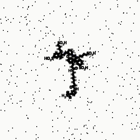 CC1(C)C(/C=C/C2=C(Oc3ccc(CCC(=O)NCCCCCCCC(=O)Nc4nnc(S(N)(=O)=O)s4)cc3)C(=C/C=C3/N(CCCCS(=O)(=O)O)c4ccc(S(=O)(=O)O)cc4C3(C)C)/CCC2)=[N+](CCCCS(=O)(=O)O)c2ccc(S(=O)(=O)O)cc21